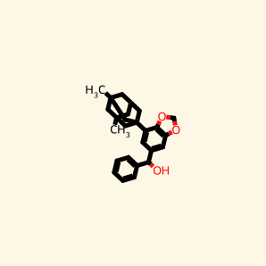 CC12CC3CC(C)(C1)CC(c1cc(C(O)c4ccccc4)cc4c1OCO4)(C3)C2